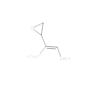 CCCCCCC=C(CCCCC)C1CS1